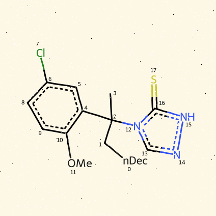 CCCCCCCCCCCC(C)(c1cc(Cl)ccc1OC)n1cn[nH]c1=S